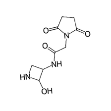 O=C(CN1C(=O)CCC1=O)NC1CNC1O